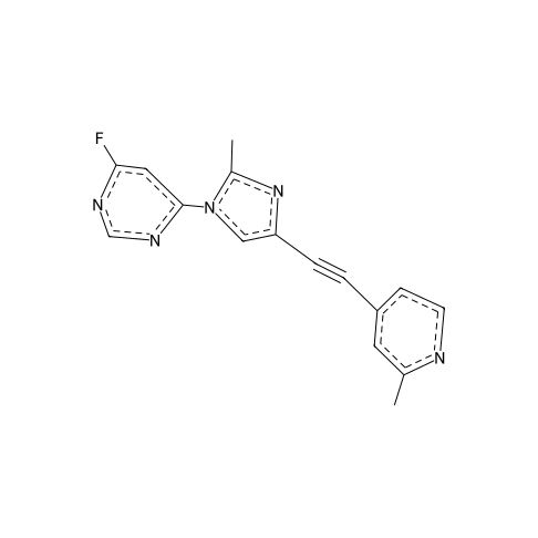 Cc1cc(C#Cc2cn(-c3cc(F)ncn3)c(C)n2)ccn1